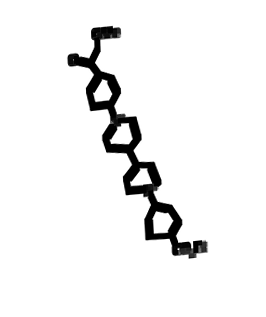 CCOC(=O)c1ccc(-[n+]2ccc(-c3cc[n+](-c4ccc(C(=O)COC)cc4)cc3)cc2)cc1